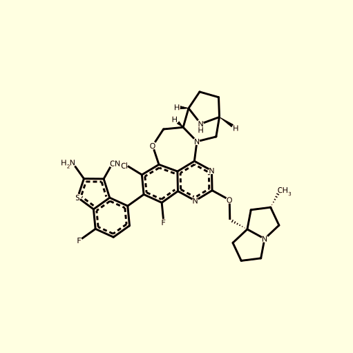 C[C@@H]1CN2CCC[C@@]2(COc2nc3c4c(c(Cl)c(-c5ccc(F)c6sc(N)c(C#N)c56)c(F)c4n2)OC[C@@H]2[C@@H]4CC[C@H](CN32)N4)C1